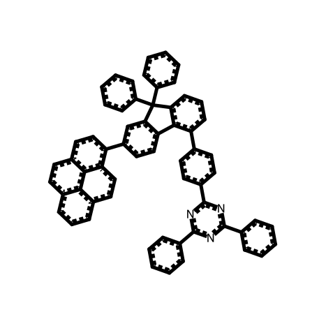 c1ccc(-c2nc(-c3ccccc3)nc(-c3ccc(-c4cccc5c4-c4ccc(-c6ccc7ccc8cccc9ccc6c7c89)cc4C5(c4ccccc4)c4ccccc4)cc3)n2)cc1